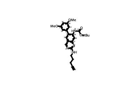 C#CCCCNc1ncc2cc(-c3cc(OC)cc(OC)c3)c(NC(=O)OC(C)(C)C)cc2n1